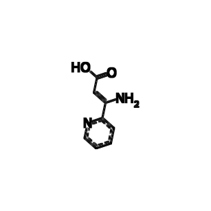 N/C(=C\C(=O)O)c1ccccn1